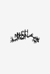 Clc1c(NCC2CC2c2ccncc2)ccn2c(CC3CC3)nnc12